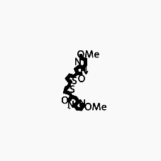 COc1ccc2c(cc(-c3ccc(-c4ccc(-c5cc6nc(OC)ccc6n(C)c5=O)s4)s3)c(=O)n2C)n1